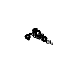 Cc1ccc(S(=O)(=O)N2CCc3cccc(OCc4ccccc4)c3C(=O)[C@H]2C)cc1